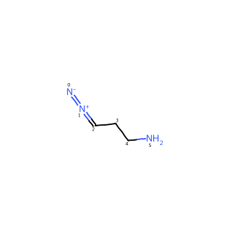 [N-]=[N+]=CCCN